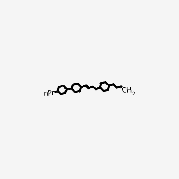 C=CCCC1CCC(CC/C=C/C2CCC(C3CCC(CCC)CC3)CC2)CC1